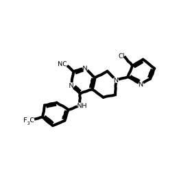 N#Cc1nc2c(c(Nc3ccc(C(F)(F)F)cc3)n1)CCN(c1ncccc1Cl)C2